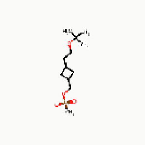 CC(C)(C)OCCC1CC(COS(C)(=O)=O)C1